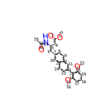 COC(=O)C/C(=C\c1ccc2cc(-c3c(OC)cccc3OC)ccc2c1)NC(C)=O